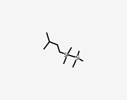 CC(C)CC[Si](C)(C)[Si](C)(C)C